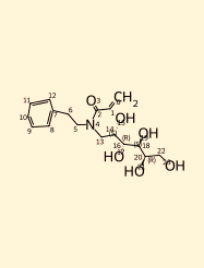 C=CC(=O)N(CCc1ccccc1)C[C@H](O)[C@@H](O)[C@@H](O)[C@H](O)CO